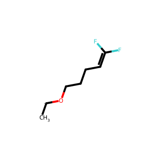 C[CH]OCCCC=C(F)F